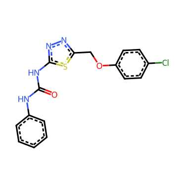 O=C(Nc1ccccc1)Nc1nnc(COc2ccc(Cl)cc2)s1